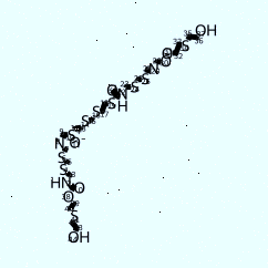 O=C(NCSCSC/N=C\[S+]([O-])CCSCSCCSC(=O)NCSCSC/N=C/OOCCSCCO)OCCSCCO